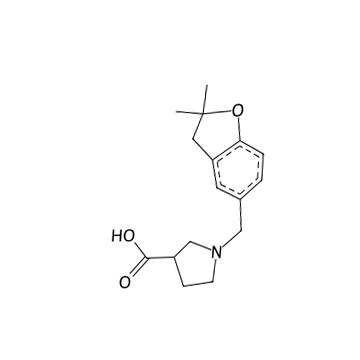 CC1(C)Cc2cc(CN3CCC(C(=O)O)C3)ccc2O1